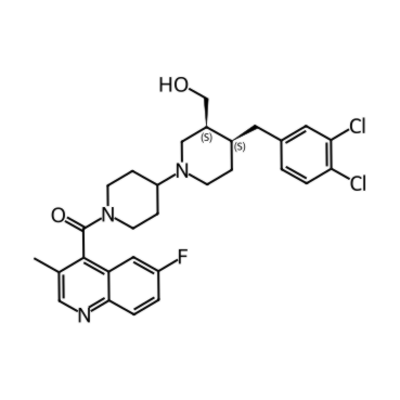 Cc1cnc2ccc(F)cc2c1C(=O)N1CCC(N2CC[C@H](Cc3ccc(Cl)c(Cl)c3)[C@H](CO)C2)CC1